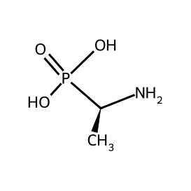 C[C@H](N)P(=O)(O)O